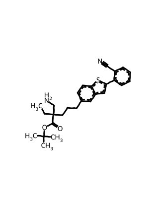 CCC(CN)(CCCc1ccc2sc(-c3ccccc3C#N)cc2c1)C(=O)OC(C)(C)C